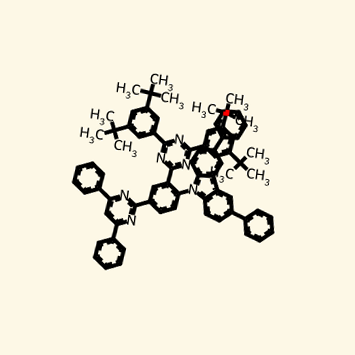 CC(C)(C)c1cc(-c2nc(-c3cc(C(C)(C)C)cc(C(C)(C)C)c3)nc(-c3cc(-c4nc(-c5ccccc5)cc(-c5ccccc5)n4)ccc3-n3c4ccc(-c5ccccc5)cc4c4cc(-c5ccccc5)ccc43)n2)cc(C(C)(C)C)c1